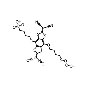 [C-]#[N+]C([N+]#[C-])=C1Sc2c(OCCCCSOOO)c3c(c(OCCCCS(=O)(=O)O)c2S1)SC(=C(C#N)C#N)S3